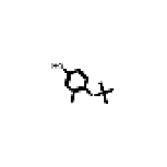 Cc1cc(O)ccc1SC(C)(C)C